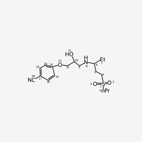 CCCS(=O)(=O)CCC(CC)NCC(O)COc1ccc(C#N)cc1